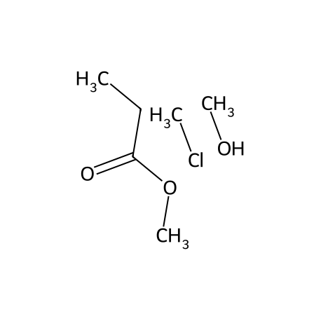 CCC(=O)OC.CCl.CO